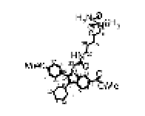 COC(=O)c1ccc2c(C3CCCCC3)c(-c3ccc(OC)cc3)n(CC(=O)NCCCCCN(C)S(N)(=O)=O)c2c1